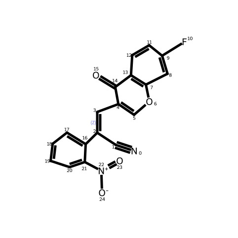 N#C/C(=C\c1coc2cc(F)ccc2c1=O)c1ccccc1[N+](=O)[O-]